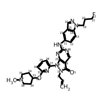 C=CCn1c(=O)c2cnc(Nc3ccc4c(cnn4CCCF)c3)nc2n1-c1cccc(OC2CCN(C)CC2)n1